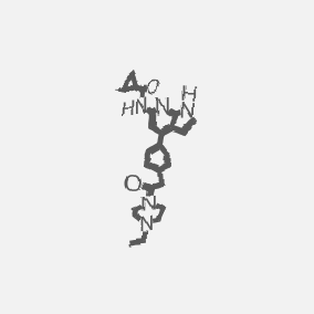 CCN1CCN(C(=O)Cc2ccc(-c3cc(NC(=O)C4CC4)nc4[nH]ccc34)cc2)CC1